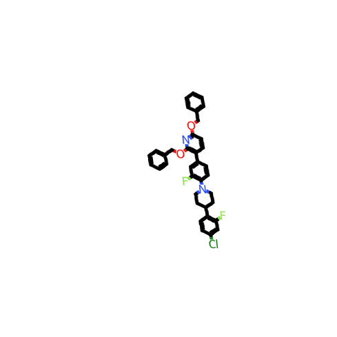 Fc1cc(Cl)ccc1C1CCN(c2ccc(-c3ccc(OCc4ccccc4)nc3OCc3ccccc3)cc2F)CC1